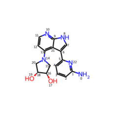 Nc1cccc(-c2c[nH]c3nccc(N4C[C@@H](O)[C@@H](O)C4)c23)n1